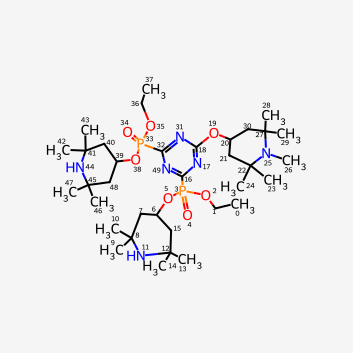 CCOP(=O)(OC1CC(C)(C)NC(C)(C)C1)c1nc(OC2CC(C)(C)N(C)C(C)(C)C2)nc(P(=O)(OCC)OC2CC(C)(C)NC(C)(C)C2)n1